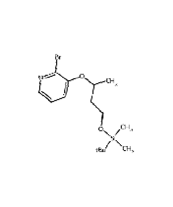 CC(CCO[Si](C)(C)C(C)(C)C)Oc1cccnc1Br